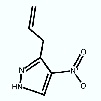 C=CCc1n[nH]cc1[N+](=O)[O-]